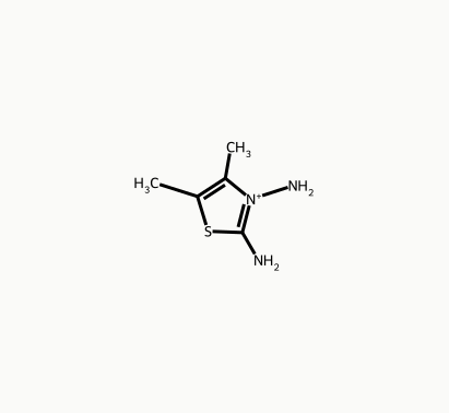 Cc1sc(N)[n+](N)c1C